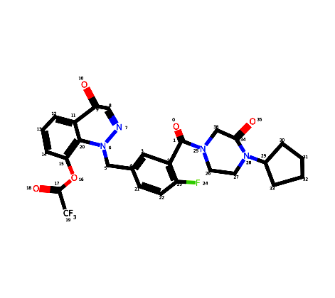 O=C(c1cc(Cn2ncc(=O)c3cccc(OC(=O)C(F)(F)F)c32)ccc1F)N1CCN(C2CCCC2)C(=O)C1